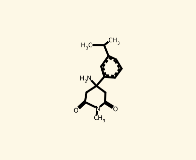 CC(C)c1cccc(C2(N)CC(=O)N(C)C(=O)C2)c1